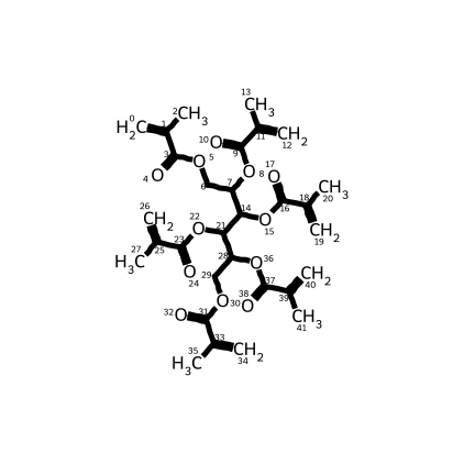 C=C(C)C(=O)OCC(OC(=O)C(=C)C)C(OC(=O)C(=C)C)C(OC(=O)C(=C)C)C(COC(=O)C(=C)C)OC(=O)C(=C)C